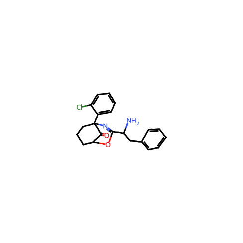 NC(Cc1ccccc1)C1=NC2(c3ccccc3Cl)CCCC(O1)C2=O